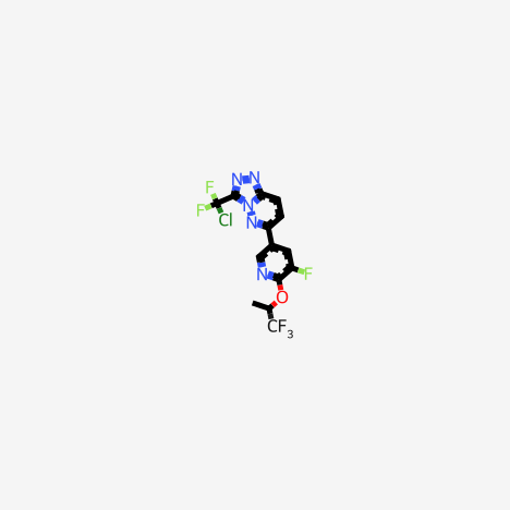 CC(Oc1ncc(-c2ccc3nnc(C(F)(F)Cl)n3n2)cc1F)C(F)(F)F